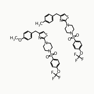 COc1ccc(Cc2csc(N3CCN(S(=O)(=O)c4ccc(OC(F)(F)F)cc4)CC3)n2)cc1.Cc1ccc(Cc2csc(N3CCN(S(=O)(=O)c4ccc(OC(F)(F)F)cc4)CC3)n2)cc1